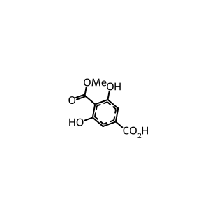 COC(=O)c1c(O)cc(C(=O)O)cc1O